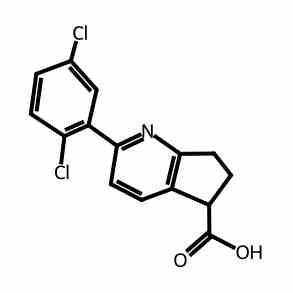 O=C(O)C1CCc2nc(-c3cc(Cl)ccc3Cl)ccc21